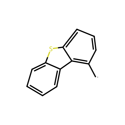 [CH2]c1cccc2sc3ccccc3c12